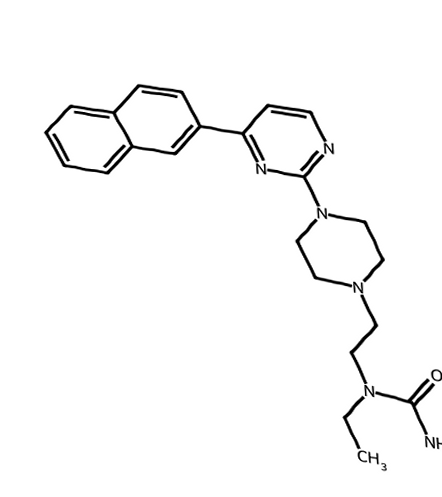 CCN(CCN1CCN(c2nccc(-c3ccc4ccccc4c3)n2)CC1)C(N)=O